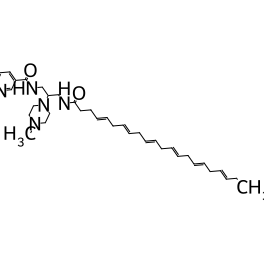 CCC=CCC=CCC=CCC=CCC=CCC=CCCC(=O)NCC(CNC(=O)c1cccnc1)N1CCN(C)CC1